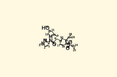 Cn1ccc(NC(=O)[C@H](C[C@H]2CCC(O)C2)c2ccc(S(=O)(=O)C3CC3)c(C3CC3)c2)n1